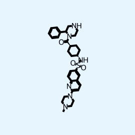 CN1CCN(c2ccc3cc(S(=O)(=O)N[C@H]4CC[C@H](C(=O)N5CCNCC5c5ccccc5)CC4)ccc3n2)CC1